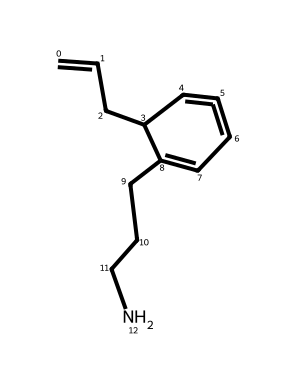 C=CCC1C=C=CC=C1CCCN